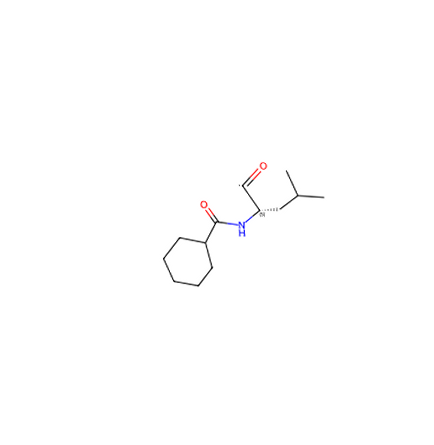 CC(C)C[C@@H]([C]=O)NC(=O)C1CCCCC1